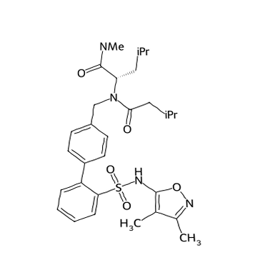 CNC(=O)[C@H](CC(C)C)N(Cc1ccc(-c2ccccc2S(=O)(=O)Nc2onc(C)c2C)cc1)C(=O)CC(C)C